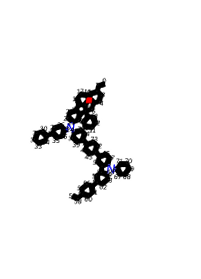 C=Cc1ccc(CC2(c3ccccc3)c3ccccc3-c3ccc(N(c4ccc(-c5ccccc5)cc4)c4ccc(-c5ccc(-c6ccc7c(c6)c6cc(-c8ccc(C=C)cc8)ccc6n7-c6ccccc6)cc5)cc4)cc32)cc1